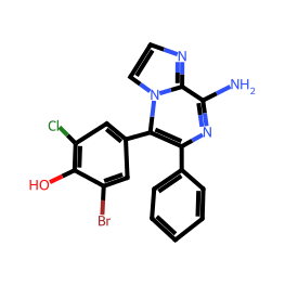 Nc1nc(-c2ccccc2)c(-c2cc(Cl)c(O)c(Br)c2)n2ccnc12